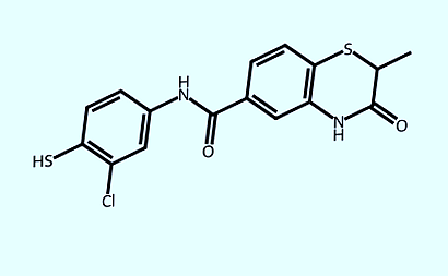 CC1Sc2ccc(C(=O)Nc3ccc(S)c(Cl)c3)cc2NC1=O